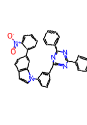 O=[N+]([O-])c1ccccc1-c1ccc2ccn(-c3cccc(-c4nc(-c5ccccc5)nc(-c5ccccc5)n4)c3)c2c1